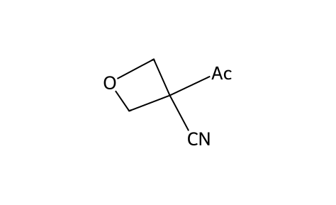 CC(=O)C1(C#N)COC1